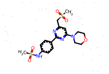 CS(=O)(=O)Cc1cc(N2CCOCC2)nc(-c2ccc(NS(C)(=O)=O)cc2)n1